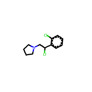 Clc1ccccc1C(Cl)CN1CCCC1